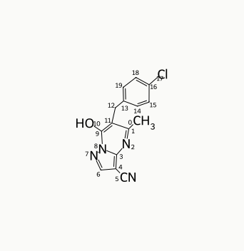 Cc1nc2c(C#N)cnn2c(O)c1Cc1ccc(Cl)cc1